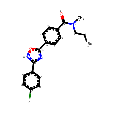 CN(CCC(C)(C)C)C(=O)c1ccc(-c2nc(-c3ccc(F)cc3)no2)cc1